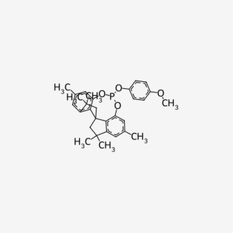 COc1ccc(OP2Oc3cc(C)cc4c3C3(CC4(C)C)CC(C)(C)c4cc(C)cc(c43)O2)cc1